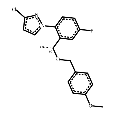 COc1ccc(CO[C@H](C)c2cc(F)ccc2-n2ccc(Cl)n2)cc1